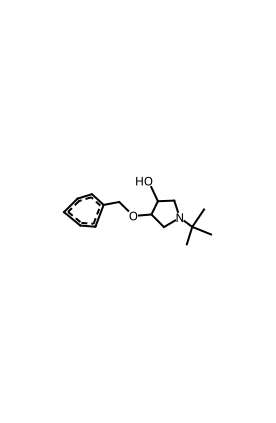 CC(C)(C)N1CC(O)C(OCc2ccccc2)C1